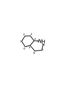 [CH]1CCCC2NCCCC12